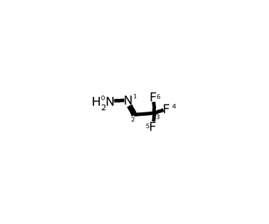 NN=CC(F)(F)F